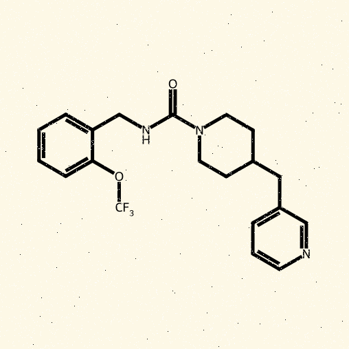 O=C(NCc1ccccc1OC(F)(F)F)N1CCC(Cc2cccnc2)CC1